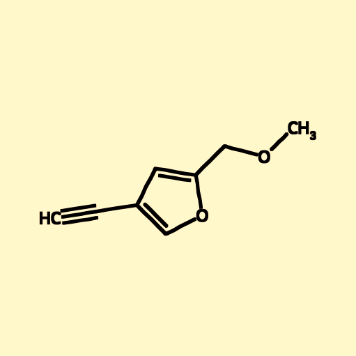 C#Cc1coc(COC)c1